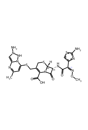 CO/N=C(\C(=O)N[C@@H]1C(=O)N2C(C(=O)O)=C(CSC3=CC(C)=NC4=CN(N)NN43)CS[C@H]12)c1csc(N)n1